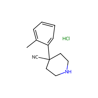 Cc1ccccc1C1(C#N)CCNCC1.Cl